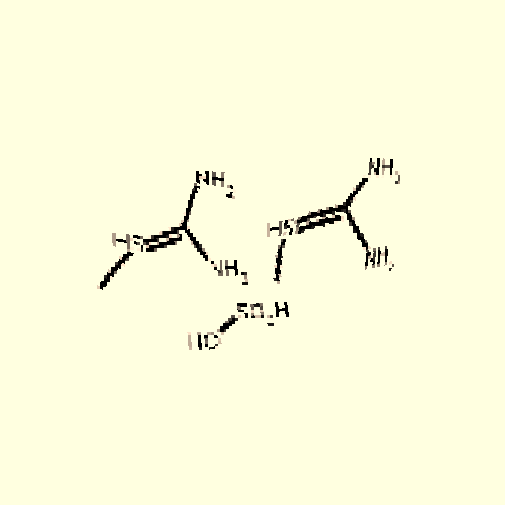 C[SH]=C(N)N.C[SH]=C(N)N.O=S(=O)(O)O